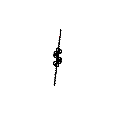 CCCCCCCCCC=CCCCCCCCOC(=O)CCN(CCCCN(CCC(=O)OCCCCCCCC=CCCCCCCCCC)C(=O)OC(C)(C)C)C(=O)OC(C)(C)C